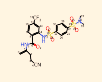 C=C(CCC#N)NC(=O)c1ccc(C(F)(F)F)cc1NS(=O)(=O)c1ccc(S(=O)(=O)N(C)C)cc1